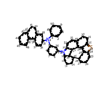 c1ccc(N(c2cccc(-n3c4cccc5c4c4c6c(ccc7sc8cccc-5c8c76)ccc43)c2)c2ccc3c(ccc4ccccc43)c2)cc1